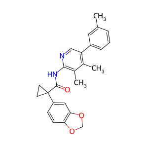 Cc1cccc(-c2cnc(NC(=O)C3(c4ccc5c(c4)OCO5)CC3)c(C)c2C)c1